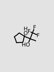 CC(O)(C(F)(F)F)C1(O)CCCC1